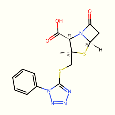 C[C@@]1(CSc2nnnn2-c2ccccc2)S[C@@H]2CC(=O)N2[C@H]1C(=O)O